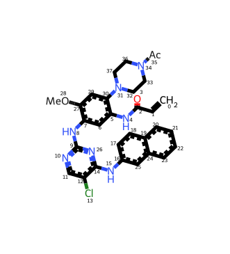 C=CC(=O)Nc1cc(Nc2ncc(Cl)c(Nc3ccc4ccccc4c3)n2)c(OC)cc1N1CCN(C(C)=O)CC1